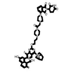 C#Cc1c(F)ccc2cc(O)cc(-c3ncc4c(N5CC6CCC(C5)N6)nc(OCCCN5CCN(C(=O)CN6CCN(c7cccc8c7C(=O)N(C7CCC(=O)NC7=O)C8=O)CC6)CC5)nc4c3F)c12